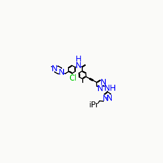 C=C(Nc1ccc(CN2CCN(C)CC2)c(Cl)c1)c1ccc(C)c(C#Cc2cnc(Nc3cnn(CCC(C)C)c3)nc2)c1